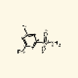 CCc1cc(F)cc(S(N)(=O)=O)c1